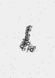 C/C(=C\c1ccc2c(c1)N(S(=O)(=O)c1cccc(C(F)(F)F)c1)C[C@@H]1CN(CC(=O)OCOC(=O)OC(C)C)CCN21)c1c(F)cccc1Cl